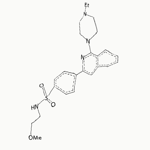 CCN1CCN(c2nc(-c3ccc(S(=O)(=O)NCCOC)cc3)cc3ccccc23)CC1